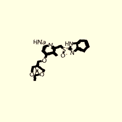 Cc1c(OCC23COC(C)(OC2)OC3)ccnc1C[S+]([O-])c1nc2ccccc2[nH]1.[NaH]